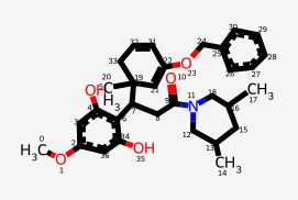 COc1cc(O)c(C(CC(=O)N2CC(C)CC(C)C2)C2(C)C=C(OCc3ccccc3)C=CC2)c(O)c1